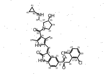 Cc1[nH]c(/C=C2\C(=O)Nc3ccc(S(=O)(=O)Cc4c(Cl)cccc4Cl)cc32)c(C)c1C(=O)N1CC[C@H](O)[C@H]1CNC1CC1